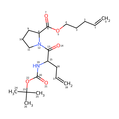 C=CCCCOC(=O)C1CCCN1C(=O)C(CC=C)NC(=O)OC(C)(C)C